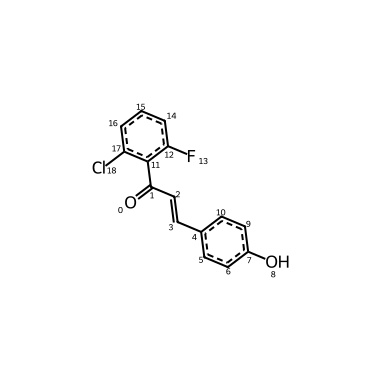 O=C(C=Cc1ccc(O)cc1)c1c(F)cccc1Cl